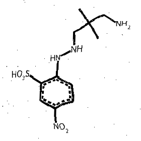 CC(C)(CN)CNNc1ccc([N+](=O)[O-])cc1S(=O)(=O)O